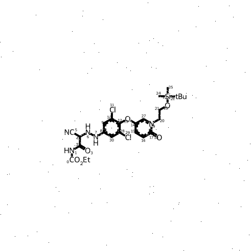 CCOC(=O)NC(=O)C(C#N)NNc1cc(Cl)c(Oc2ccc(=O)n(CCO[Si](C)(C)C(C)(C)C)c2)c(Cl)c1